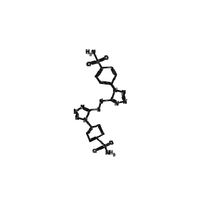 NS(=O)(=O)c1ccc(-n2nnnc2SSc2nnnn2-c2ccc(S(N)(=O)=O)cc2)cc1